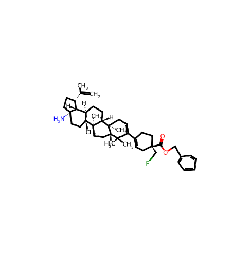 C=C(C)[C@H]1CC[C@]2(N)CC[C@]3(C)[C@H](CC[C@@H]4[C@@]5(C)CC=C(C6=CC[C@@](CF)(C(=O)OCc7ccccc7)CC6)C(C)(C)[C@@H]5CC[C@]43C)[C@@H]12